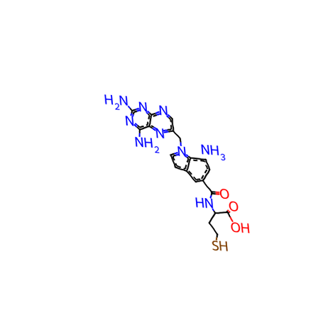 N.Nc1nc(N)c2nc(Cn3ccc4cc(C(=O)NC(CCS)C(=O)O)ccc43)cnc2n1